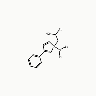 CCC(O)CS1(N(CC)CC)C=CC(c2ccccc2)=C1